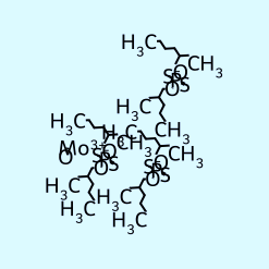 CCCCC(CC)COP(=S)([S-])OCC(CC)CCCC.CCCCC(CC)COP(=S)([S-])OCC(CC)CCCC.CCCCC(CC)COP(=S)([S-])OCC(CC)CCCC.[O]=[Mo+3]